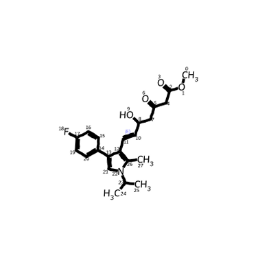 COC(=O)CC(=O)CC(O)/C=C/c1c(-c2ccc(F)cc2)cn(C(C)C)c1C